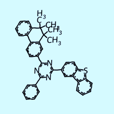 CC1(C)c2ccccc2-c2ccc(-c3nc(-c4ccccc4)nc(-c4ccc5sc6ccccc6c5c4)n3)cc2C1(C)C